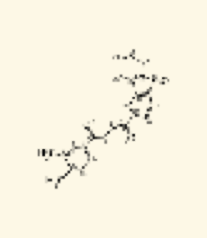 CC1=CC(C(=O)COC(=O)C2C=CC3=C(C2)C2=C(CCCC2)C3=O)=CCC1C